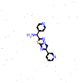 NC(c1ccncc1)c1nn2cc(-c3cccnc3)nc2s1